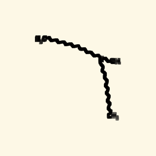 CCCCCCCCCCCCCCCCN(CCO)CCCCCCCCCCCCCCC